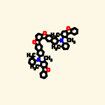 Cc1ccccc1N(c1ccc2cc3c(cc2c1)oc1ccc2oc4cc5cc(N(c6ccccc6C)c6c(C)cc7oc8ccccc8c7c6C)ccc5cc4c2c13)c1c(C)cc2oc3ccccc3c2c1C